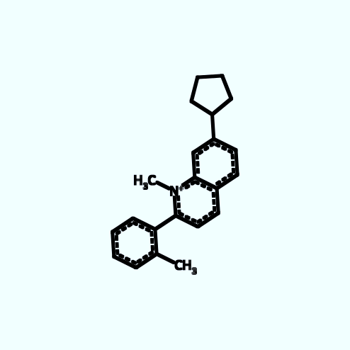 Cc1ccccc1-c1ccc2ccc(C3CCCC3)cc2[n+]1C